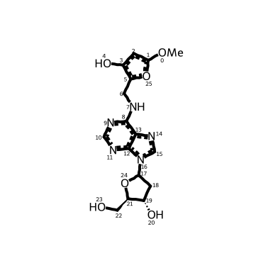 COc1cc(O)c(CNc2ncnc3c2ncn3C2C[C@H](O)[C@@H](CO)O2)o1